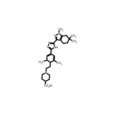 CCOC(=O)C1CCN(CCC2C(C)=CC(c3nnc(-c4nn(C)c5c4CCC(C)(C)C5)[nH]3)=CC2C)CC1